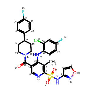 Cc1c(S(=O)(=O)Nc2ccon2)ncc(C(=O)N2CCC(c3ccc(F)cc3)CC2)c1Nc1ccc(F)cc1Cl